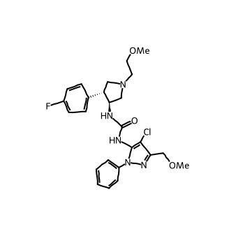 COCCN1C[C@@H](NC(=O)Nc2c(Cl)c(COC)nn2-c2ccccc2)[C@H](c2ccc(F)cc2)C1